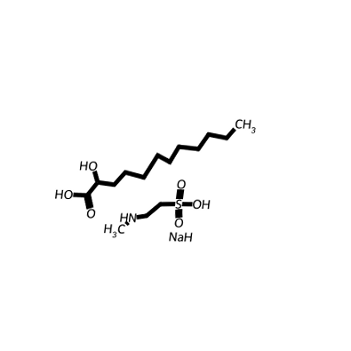 CCCCCCCCCCC(O)C(=O)O.CNCCS(=O)(=O)O.[NaH]